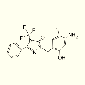 Nc1cc(O)c(Cn2nc(-c3ccccc3)n(C(F)(F)F)c2=O)cc1Cl